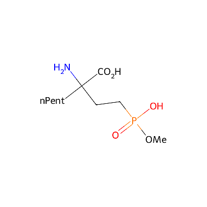 CCCCCC(N)(CCP(=O)(O)OC)C(=O)O